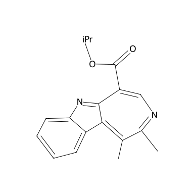 Cc1ncc(C(=O)OC(C)C)c2nc3ccccc3c-2c1C